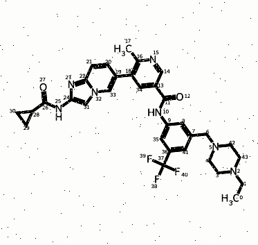 CCN1CCN(Cc2cc(NC(=O)c3cnc(C)c(-c4ccc5nc(NC(=O)C6CC6)cn5c4)c3)cc(C(F)(F)F)c2)CC1